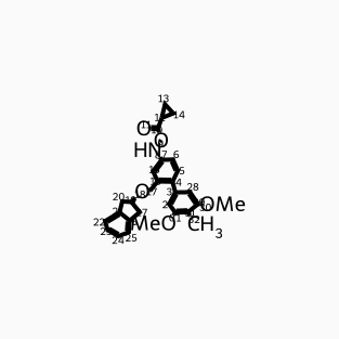 COc1cc(-c2ccc(NOC(=O)C3CC3)cc2COC2Cc3ccccc3C2)cc(OC)c1C